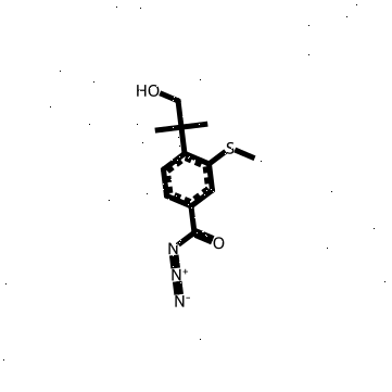 CSc1cc(C(=O)N=[N+]=[N-])ccc1C(C)(C)CO